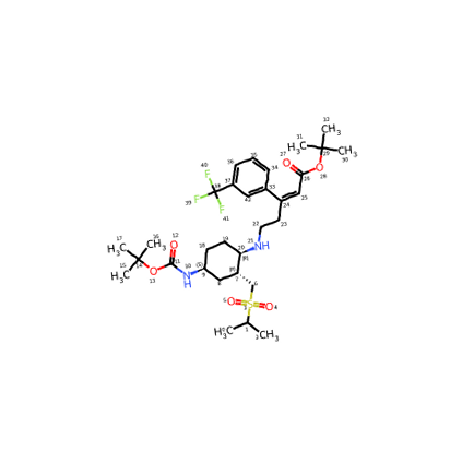 CC(C)S(=O)(=O)C[C@@H]1C[C@@H](NC(=O)OC(C)(C)C)CC[C@H]1NCCC(=CC(=O)OC(C)(C)C)c1cccc(C(F)(F)F)c1